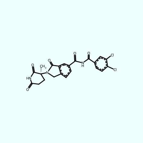 C[C@]1(N2Cc3ccc(C(=O)NC(=O)c4ccc(Cl)c(Cl)c4)cc3C2=O)CCC(=O)NC1=O